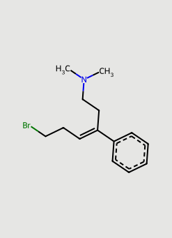 CN(C)CCC(=CCCBr)c1ccccc1